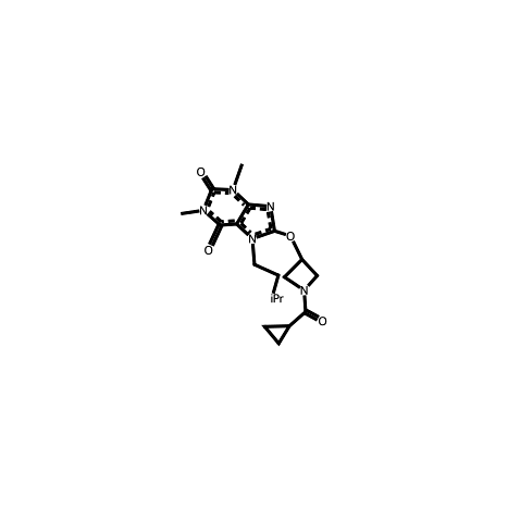 CC(C)CCn1c(OC2CN(C(=O)C3CC3)C2)nc2c1c(=O)n(C)c(=O)n2C